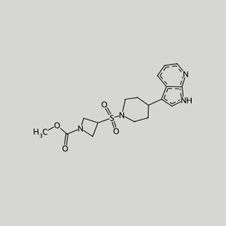 COC(=O)N1CC(S(=O)(=O)N2CCC(c3c[nH]c4ncccc34)CC2)C1